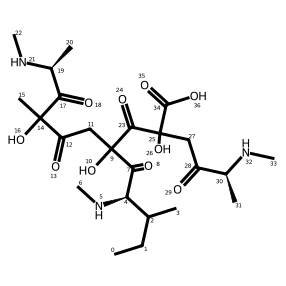 CCC(C)[C@@H](NC)C(=O)C(O)(CC(=O)C(C)(O)C(=O)[C@H](C)NC)C(=O)C(O)(CC(=O)[C@H](C)NC)C(=O)O